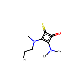 CCN(CC)c1c(N(C)CCC(C)C)c(=S)c1=O